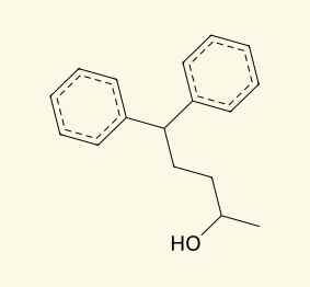 CC(O)CCC(c1ccccc1)c1ccccc1